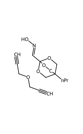 C#CCOCC#C.CCCC12COC(C=NO)(OC1)OC2